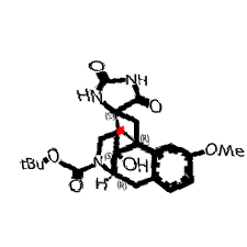 COc1ccc2c(c1)[C@]13CCN(C(=O)OC(C)(C)C)[C@H](C2)[C@]1(O)CC[C@@]1(C3)NC(=O)NC1=O